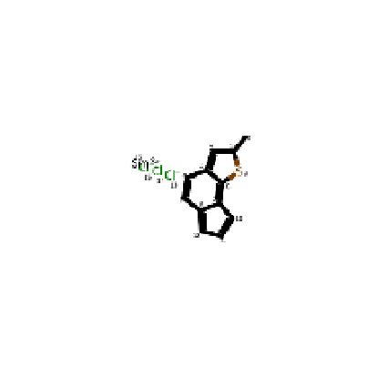 CC1C=c2ccc3c(c2S1)C=CC=3.[Cl-].[Cl-].[Cl-].[Sm+3]